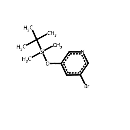 CC(C)(C)[Si](C)(C)Oc1cncc(Br)c1